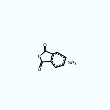 N.O=C1OC(=O)c2ccccc21